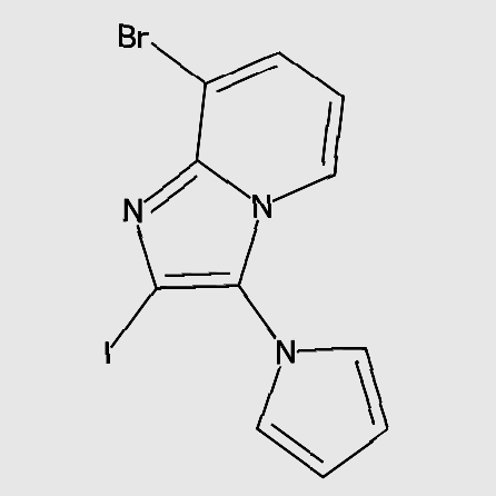 Brc1cccn2c(-n3cccc3)c(I)nc12